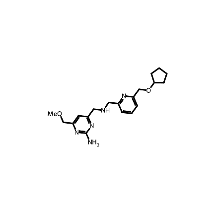 COCc1cc(CNCc2cccc(COC3CCCC3)n2)nc(N)n1